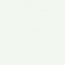 O=C1CCC(C(c2nnc(Cc3ccc(OCc4ccccc4)cc3)o2)S(=O)(=O)c2cccc(Br)c2)C1